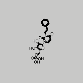 O=c1ccn([C@@H]2O[C@H](COP(=O)(O)O)[C@H](O)C2O)c(=O)n1CCc1ccccc1